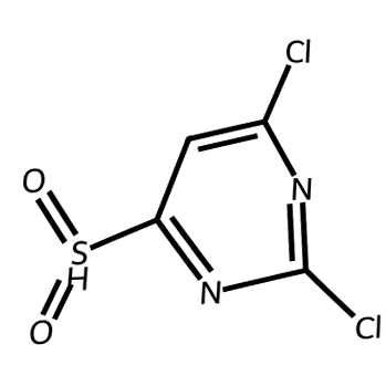 O=[SH](=O)c1cc(Cl)nc(Cl)n1